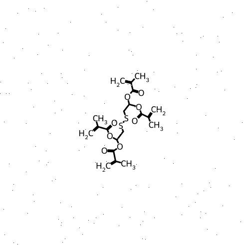 C=C(C)C(=O)OC(CSSCC(OC(=O)C(=C)C)OC(=O)C(=C)C)OC(=O)C(=C)C